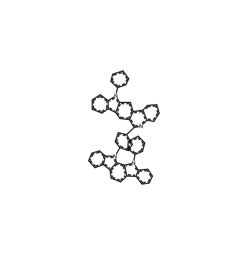 c1ccc(-n2c3ccccc3c3cc4c(-c5ccc(-n6c7ccccc7c7ccc8c9ccccc9n(-c9ccccc9)c8c76)cc5)nc5ccccc5c4cc32)cc1